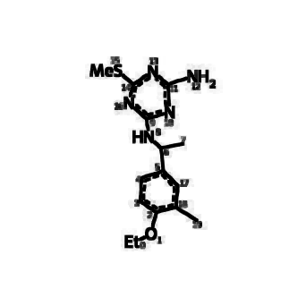 CCOc1ccc(C(C)Nc2nc(N)nc(SC)n2)cc1C